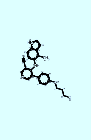 Cc1c(Nc2c(C#N)cncc2-c2ccc(OCCCCl)cc2)ccc2[nH]ccc12